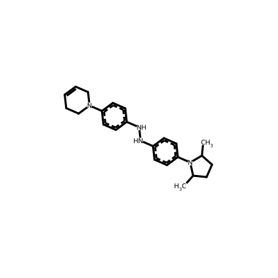 CC1CCC(C)N1c1ccc(NNc2ccc(N3CC=CCC3)cc2)cc1